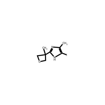 Cc1nc(C2(C)COC2)[nH]c1I